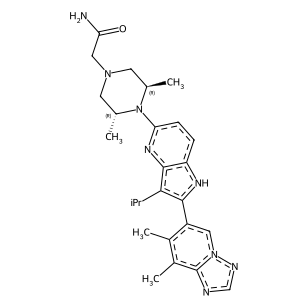 Cc1c(-c2[nH]c3ccc(N4[C@H](C)CN(CC(N)=O)C[C@H]4C)nc3c2C(C)C)cn2ncnc2c1C